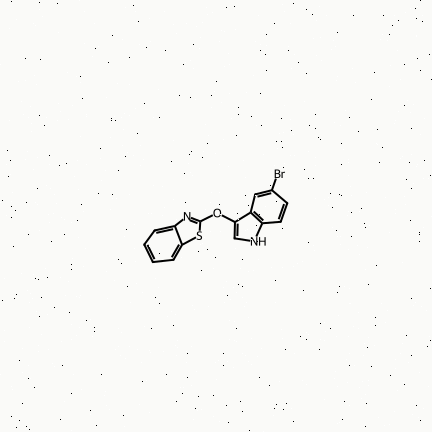 Brc1ccc2[nH]cc(Oc3nc4ccccc4s3)c2c1